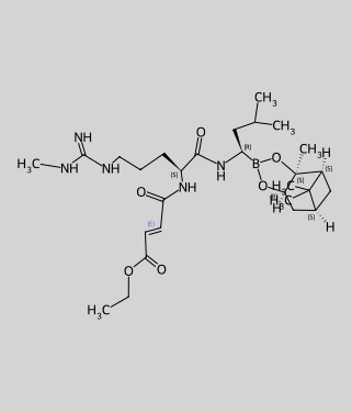 CCOC(=O)/C=C/C(=O)N[C@@H](CCCNC(=N)NC)C(=O)N[C@@H](CC(C)C)B1O[C@@H]2C[C@@H]3C[C@@H](C3(C)C)[C@]2(C)O1